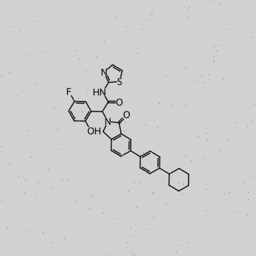 O=C(Nc1nccs1)C(c1cc(F)ccc1O)N1Cc2ccc(-c3ccc(C4CCCCC4)cc3)cc2C1=O